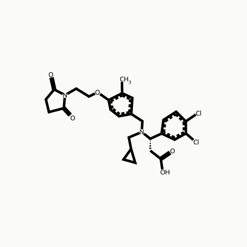 Cc1cc(CN(CC2CC2)[C@@H](CC(=O)O)c2ccc(Cl)c(Cl)c2)ccc1OCCN1C(=O)CCC1=O